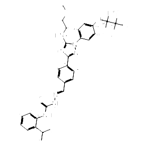 COCCNc1nc(-c2ccc(/C=N/NC(=S)Nc3ccccc3C(C)C)cc2)nn1-c1ccc(OC(F)(F)C(F)(F)F)cc1